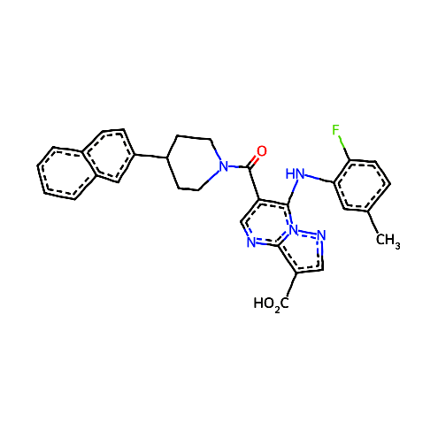 Cc1ccc(F)c(Nc2c(C(=O)N3CCC(c4ccc5ccccc5c4)CC3)cnc3c(C(=O)O)cnn23)c1